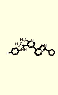 C=C(Nc1ccc(F)cc1)c1cc(-c2cccn3c(C4CCCC4)ncc23)cnc1C